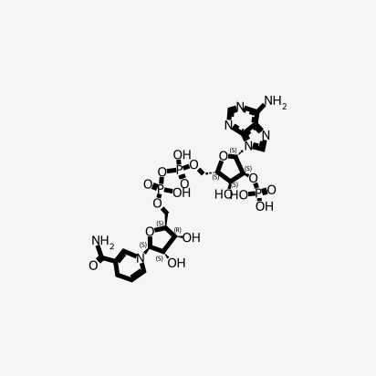 NC(=O)C1=CN([C@H]2O[C@@H](COP(=O)(O)OP(=O)(O)OC[C@@H]3O[C@H](n4cnc5c(N)ncnc54)[C@@H](OP(=O)(O)O)[C@H]3O)[C@H](O)[C@@H]2O)C=CC1